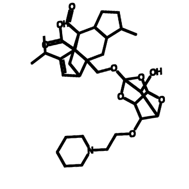 CC(C)C1=CC2CC3(C=O)C4CCC(C)C4CC2(COC24OC5OC(C(OCCN6CCCCC6)C5O2)C4O)C13C(=O)O